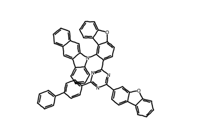 c1ccc(-c2ccc(-c3nc(-c4ccc5c(c4)oc4ccccc45)nc(-c4ccc5oc6ccccc6c5c4-n4c5ccccc5c5cc6ccccc6cc54)n3)cc2)cc1